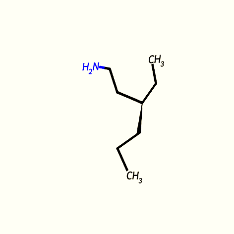 CCC[C@H](CC)CCN